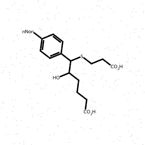 CCCCCCCCCc1ccc(C(SCCC(=O)O)C(O)CCCC(=O)O)cc1